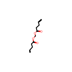 C=CCCC(=O)OCOC(=O)CCC=C